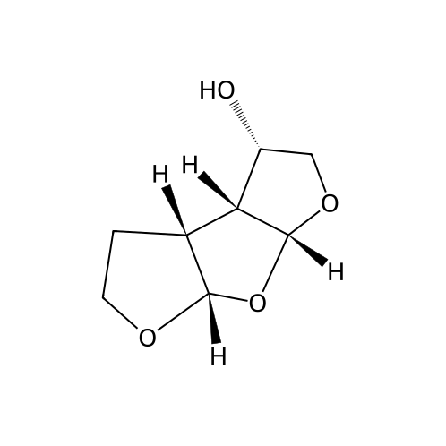 O[C@@H]1CO[C@@H]2O[C@@H]3OCC[C@@H]3[C@@H]21